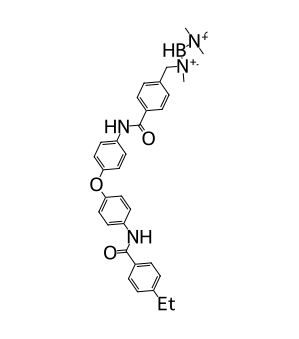 CCc1ccc(C(=O)Nc2ccc(Oc3ccc(NC(=O)c4ccc(C[N+](C)(C)B[N+](C)(C)C)cc4)cc3)cc2)cc1